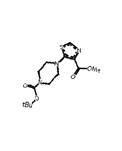 COC(=O)c1ncsc1N1CCN(C(=O)OC(C)(C)C)CC1